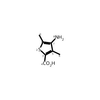 Cc1sc(C(=O)O)c(C)c1N